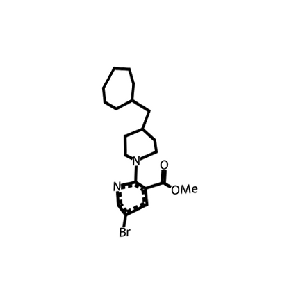 COC(=O)c1cc(Br)cnc1N1CCC(CC2CCCCCC2)CC1